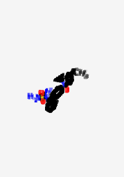 CCc1ccc(C(=O)N(C2CC2)C2CCC(CNS(N)(=O)=O)(c3ccccc3)CC2)cc1